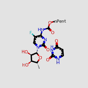 CCCCCOC(=O)Nc1nc(=O)n([C@@H]2O[C@H](C)[C@@H](O)[C@H]2O)cc1F.O=c1cc[nH]c(=O)[nH]1